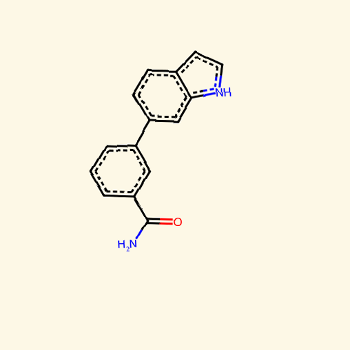 NC(=O)c1cccc(-c2ccc3cc[nH]c3c2)c1